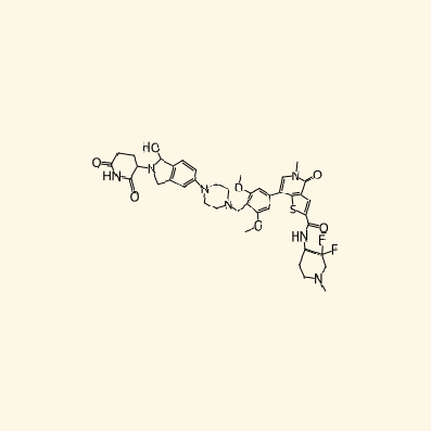 COc1cc(-c2cn(C)c(=O)c3cc(C(=O)NC4CCN(C)CC4(F)F)sc23)cc(OC)c1CN1CCN(c2ccc3c(c2)CN(C2CCC(=O)NC2=O)C3O)CC1